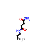 NC(=O)CCC(=O)NCCC(=O)O